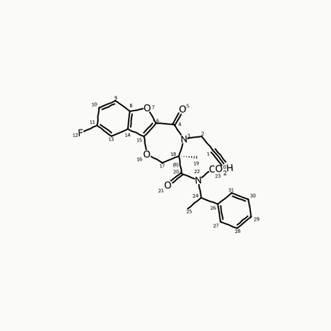 C#CCN1C(=O)c2oc3ccc(F)cc3c2OC[C@]1(C)C(=O)N(C(=O)O)C(C)c1ccccc1